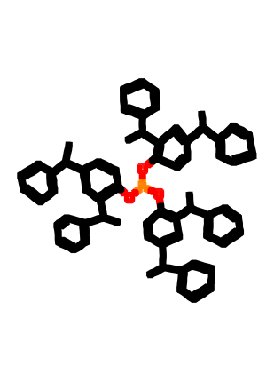 CC(c1ccccc1)c1ccc(OP(Oc2ccc(C(C)c3ccccc3)cc2C(C)c2ccccc2)Oc2ccc(C(C)c3ccccc3)cc2C(C)c2ccccc2)c(C(C)c2ccccc2)c1